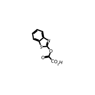 O=C(O)C(=O)Oc1nc2ccccc2s1